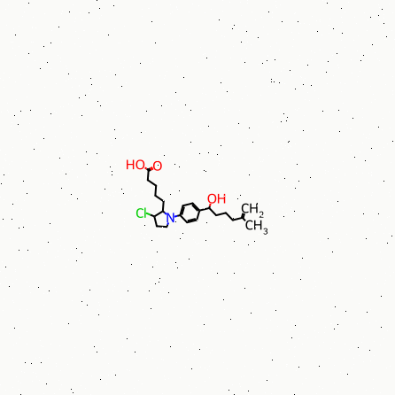 C=C(C)CCCC(O)c1ccc(N2CCC(Cl)C2CCCCC(=O)O)cc1